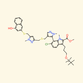 COC(=O)c1c(CCCO[Si](C)(C)C(C)(C)C)c2ccc(Cl)c(-c3c(CSCc4cc(CSc5cc(O)c6ccccc6c5)n(C)n4)cnn3C)c2n1C